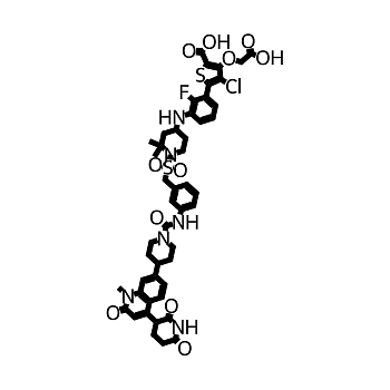 Cn1c(=O)cc(C2CCC(=O)NC2=O)c2ccc(C3CCN(C(=O)Nc4cccc(CS(=O)(=O)N5CCC(Nc6cccc(-c7sc(C(=O)O)c(OCC(=O)O)c7Cl)c6F)CC5(C)C)c4)CC3)cc21